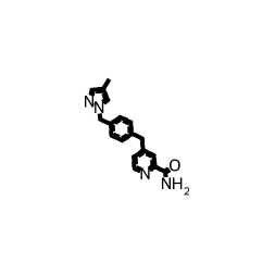 Cc1cnn(Cc2ccc(Cc3ccnc(C(N)=O)c3)cc2)c1